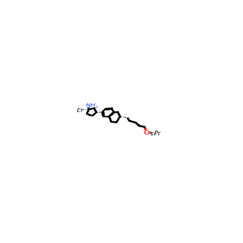 CCCOCCCCC[C@@H]1CCc2cc([C@H]3CC[C@](N)(CC)C3)ccc2C1